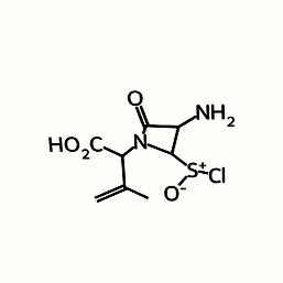 C=C(C)C(C(=O)O)N1C(=O)C(N)C1[S+]([O-])Cl